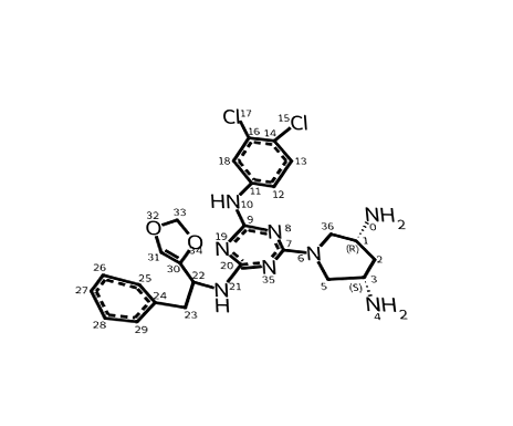 N[C@@H]1C[C@H](N)CN(c2nc(Nc3ccc(Cl)c(Cl)c3)nc(NC(Cc3ccccc3)C3=COCO3)n2)C1